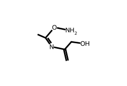 C=C(CO)/N=C(/C)ON